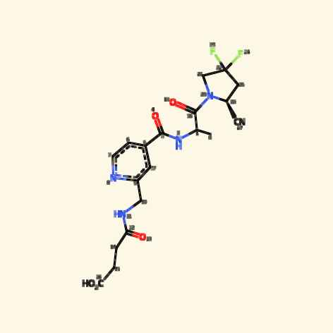 CC(NC(=O)c1ccnc(CNC(=O)CCC(=O)O)c1)C(=O)N1CC(F)(F)C[C@H]1C#N